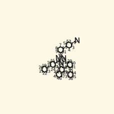 N#Cc1ccc(-c2cccc(-c3nc(-c4ccc(-c5ccccc5)cc4)nc(-c4cccc(-c5ccccc5)c4-c4ccc5ccccc5c4)n3)c2)cc1